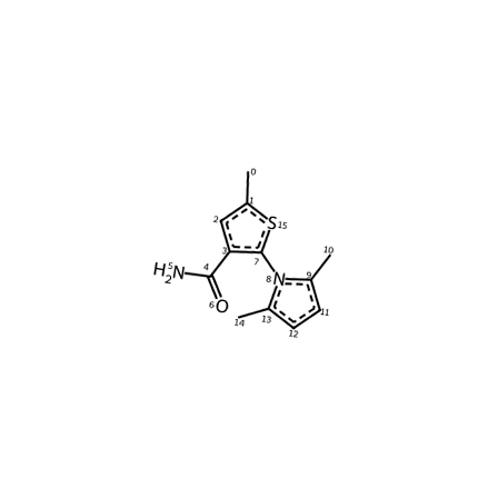 Cc1cc(C(N)=O)c(-n2c(C)ccc2C)s1